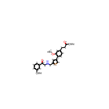 CCCCOc1cc(CCC(=O)OC)ccc1-c1csc(CNCC(=O)c2cccc(OC)c2)c1